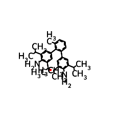 Cc1cccc(-c2cc(C(C)C)c(N)c(C(C)C)c2)c1-c1cc(C(C)C)c(N)c(C(C)C)c1